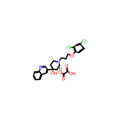 O=C(O)C(=O)O.OC1(c2cnc3ccccc3c2)CCN(CCCOc2ccc(Cl)cc2Cl)CC1